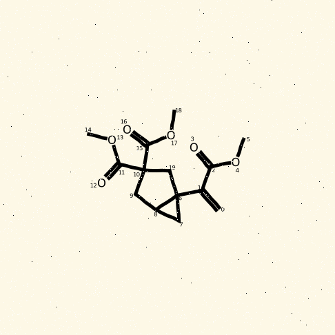 C=C(C(=O)OC)C12CC1CC(C(=O)OC)(C(=O)OC)C2